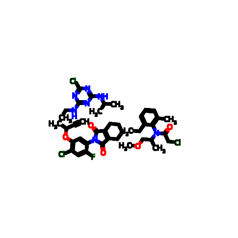 C#CC(C)Oc1cc(N2C(=O)C3=C(CCCC3)C2=O)c(F)cc1Cl.CCNc1nc(Cl)nc(NC(C)C)n1.CCc1cccc(C)c1N(C(=O)CCl)C(C)COC